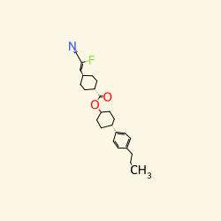 CCCc1ccc([C@H]2CC[C@H](OC(=O)[C@H]3CC[C@H](C=C(F)C#N)CC3)CC2)cc1